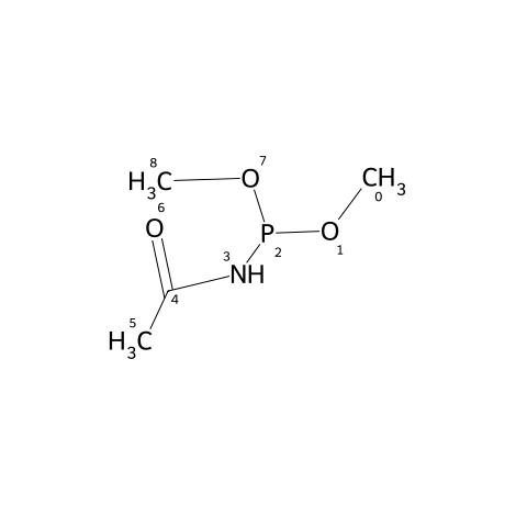 COP(NC(C)=O)OC